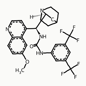 COc1ccc2nccc([C@H](NC(=O)Nc3cc(C(F)(F)F)cc(C(F)(F)F)c3)[C@@H]3CC4CCN3CC4)c2c1